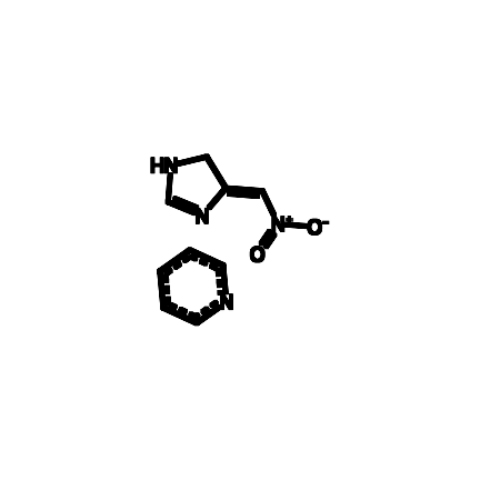 O=[N+]([O-])C=C1CNC=N1.c1ccncc1